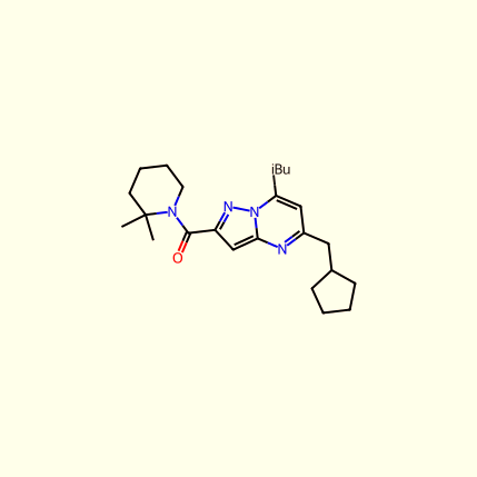 CCC(C)c1cc(CC2CCCC2)nc2cc(C(=O)N3CCCCC3(C)C)nn12